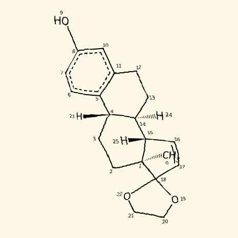 C[C@]12CC[C@@H]3c4ccc(O)cc4CC[C@H]3[C@@H]1C=CC21OCCO1